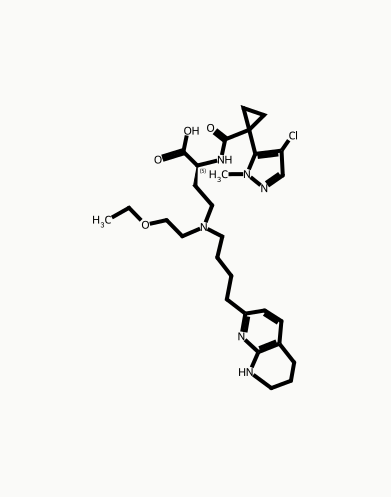 CCOCCN(CCCCc1ccc2c(n1)NCCC2)CC[C@H](NC(=O)C1(c2c(Cl)cnn2C)CC1)C(=O)O